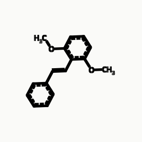 COc1cccc(OC)c1C=Cc1ccccc1